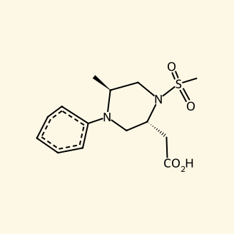 C[C@H]1CN(S(C)(=O)=O)[C@H](CC(=O)O)CN1c1ccccc1